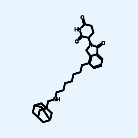 O=C1CCC(N2Cc3c(CCCCCCCNCC45CC6CC(CC(C6)C4)C5)cccc3C2=O)C(=O)N1